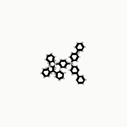 c1ccc(-c2ccc(N(c3ccc(-c4ccccc4)cc3)c3ccc(-n4c5ccccc5n5c6ccccc6c(-c6ccccc6)c45)cc3)cc2)cc1